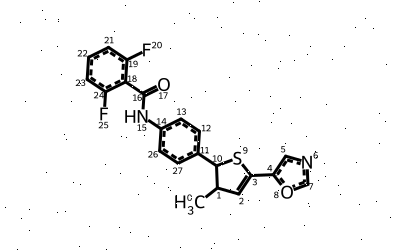 CC1C=C(c2cnco2)SC1c1ccc(NC(=O)c2c(F)cccc2F)cc1